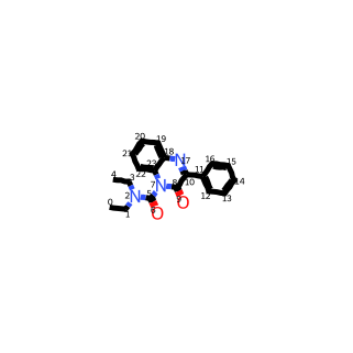 CCN(CC)C(=O)n1c(=O)c(-c2ccccc2)nc2ccccc21